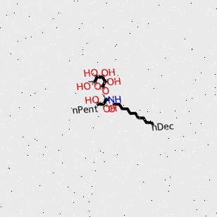 CCCCCCCCCCCCCCCCCCCC(=O)N[C@@H](CO[C@H]1O[C@H](CO)[C@H](O)[C@H](O)[C@H]1O)[C@H](O)[C@H](O)CCCCC